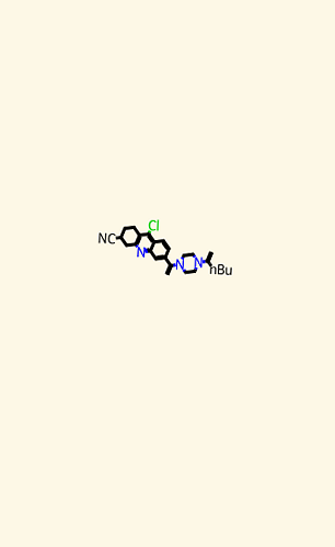 C=C(CCCC)N1CCN(C(=C)c2ccc3c(Cl)c4c(nc3c2)CC(C#N)CC4)CC1